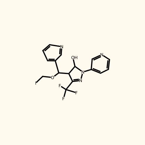 OC1C(C(OCI)c2cccnc2)C(C(F)(F)F)=NN1c1cccnc1